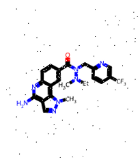 CCN(C)N(Cc1ccc(C(F)(F)F)cn1)C(=O)c1ccc2nc(N)c3cnn(C)c3c2c1